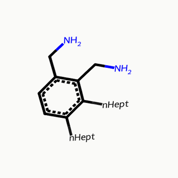 CCCCCCCc1ccc(CN)c(CN)c1CCCCCCC